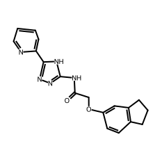 O=C(COc1ccc2c(c1)CCC2)Nc1nnc(-c2ccccn2)[nH]1